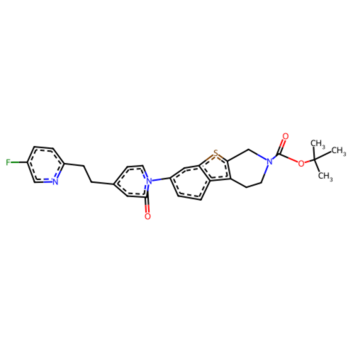 CC(C)(C)OC(=O)N1CCc2c(sc3cc(-n4ccc(CCc5ccc(F)cn5)cc4=O)ccc23)C1